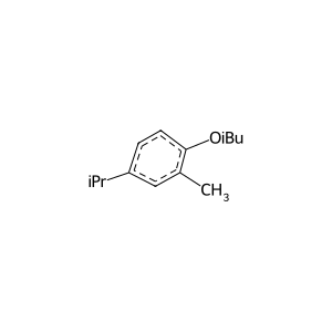 Cc1cc(C(C)C)ccc1OCC(C)C